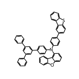 c1ccc(-c2cc(-c3ccccc3)cc(-c3ccc(N(c4ccc(-c5ccc6sc7ccccc7c6c5)cc4)c4cccc5oc6ccccc6c45)cc3)c2)cc1